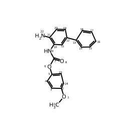 COc1ccc(OC(=O)Nc2cc(-c3ccccc3)ccc2N)cc1